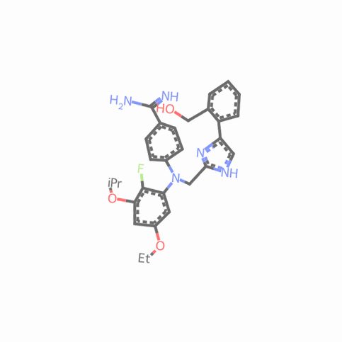 CCOc1cc(OC(C)C)c(F)c(N(Cc2nc(-c3ccccc3CO)c[nH]2)c2ccc(C(=N)N)cc2)c1